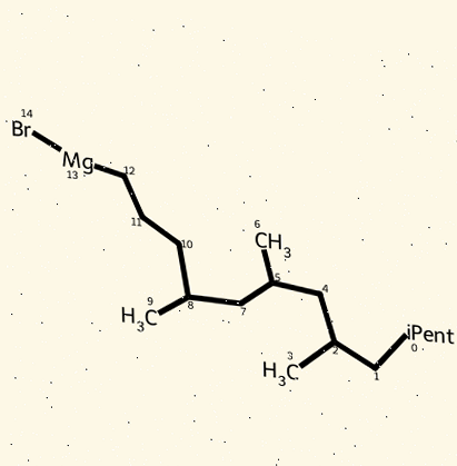 CCCC(C)CC(C)CC(C)CC(C)CC[CH2][Mg][Br]